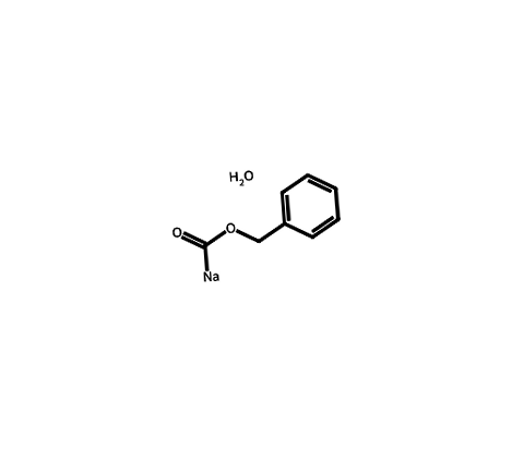 O.O=[C]([Na])OCc1ccccc1